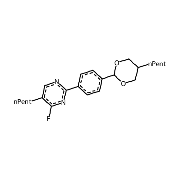 CCCCCc1cnc(-c2ccc(C3OCC(CCCCC)CO3)cc2)nc1F